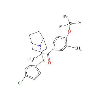 Cc1cc(C(=O)C(C)N2C3CCC2CC(Sc2ccc(Cl)cc2)C3)ccc1O[Si](C(C)C)(C(C)C)C(C)C